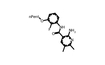 CCCCCOc1cccc(NC(=O)c2cc(C)c(C)nc2N)c1F